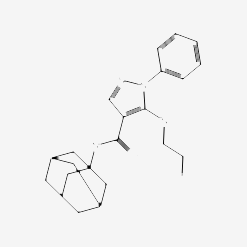 O=C(NC12CC3CC(CC(C3)C1)C2)c1cnn(-c2ccccc2)c1NCCO